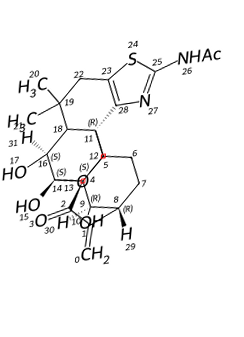 C=C1C(=O)[C@@]23C(CC[C@H]1[C@H]2O)[C@@]12CO[C@]3(O)[C@@H](O)C1C(C)(C)Cc1sc(NC(C)=O)nc12